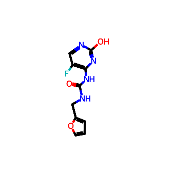 O=C(NCc1ccco1)Nc1nc(O)ncc1F